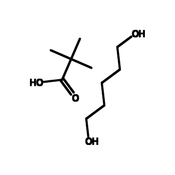 CC(C)(C)C(=O)O.OCCCCCO